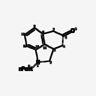 CCCCCN1CC2CC(=O)Cc3cccc1c32